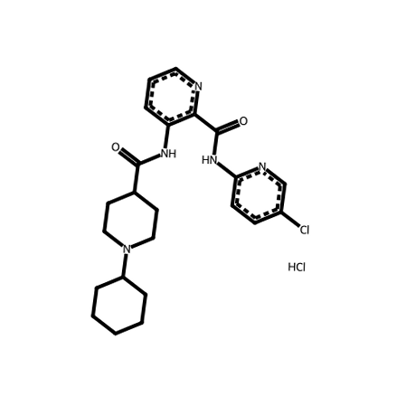 Cl.O=C(Nc1ccc(Cl)cn1)c1ncccc1NC(=O)C1CCN(C2CCCCC2)CC1